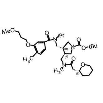 COCCCOc1cc(C(=O)N(C[C@@H]2CN(C(=O)OC(C)(C)C)C[C@H]2CN(C)C(=O)C[C@H]2CCCCO2)C(C)C)ccc1C